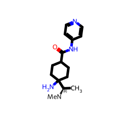 CN[C@H](C)C1(N)CCC(C(=O)Nc2ccncc2)CC1